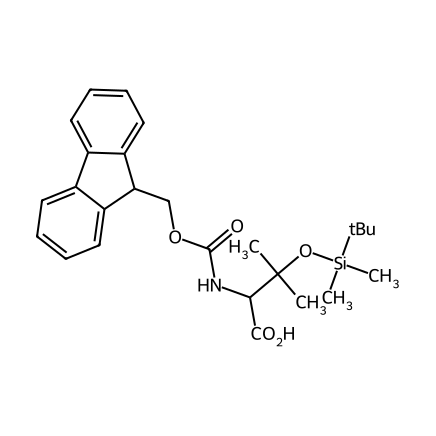 CC(C)(O[Si](C)(C)C(C)(C)C)C(NC(=O)OCC1c2ccccc2-c2ccccc21)C(=O)O